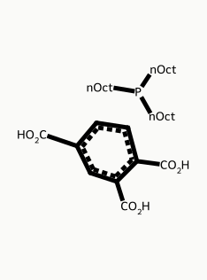 CCCCCCCCP(CCCCCCCC)CCCCCCCC.O=C(O)c1ccc(C(=O)O)c(C(=O)O)c1